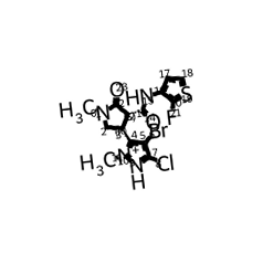 CN1C[C@H](c2c(Br)c(Cl)[nH][n+]2C)[C@@H](C(=O)Nc2ccsc2F)C1=O